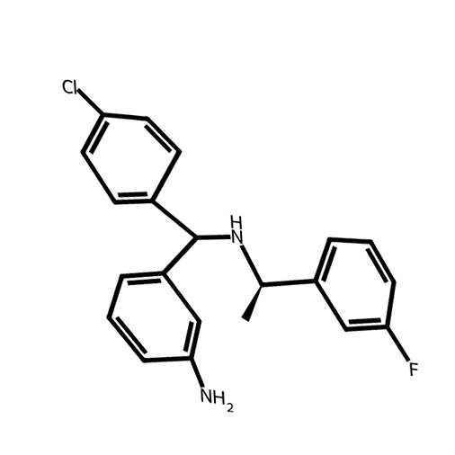 C[C@@H](NC(c1ccc(Cl)cc1)c1cccc(N)c1)c1cccc(F)c1